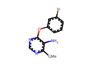 COc1ncnc(Oc2cccc(Br)c2)c1N